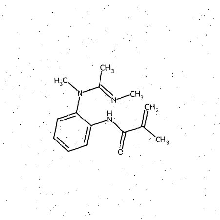 C=C(C)C(=O)Nc1ccccc1N(C)C(C)=NC